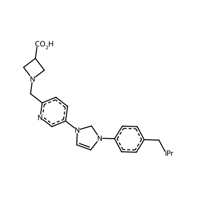 CC(C)Cc1ccc(N2C=CN(c3ccc(CN4CC(C(=O)O)C4)nc3)C2)cc1